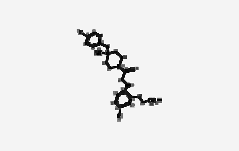 N#CC1(Cc2ccc(F)cc2)CCN(C(=O)COc2ccc(Cl)cc2CCC(=O)O)CC1